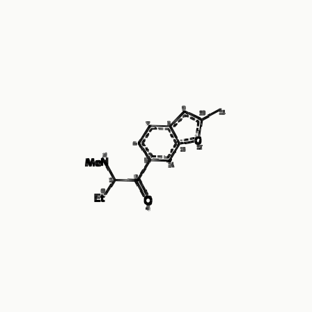 CCC(NC)C(=O)c1ccc2cc(C)oc2c1